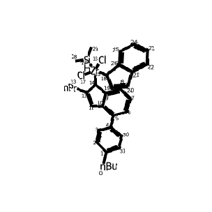 CCCCc1ccc(-c2cccc3c2C=C(CCC)[CH]3[Zr]([Cl])([Cl])([CH]2C=Cc3ccccc32)[SiH](C)C)cc1